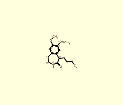 COc1cc2c(cc1OC)C(CCCCl)C(=O)NCC2